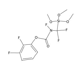 CO[Si](OC)(OC)C(F)(F)N(F)C(=O)Oc1cccc(F)c1F